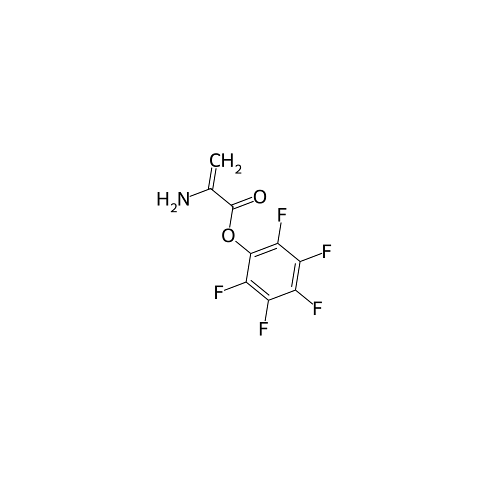 C=C(N)C(=O)Oc1c(F)c(F)c(F)c(F)c1F